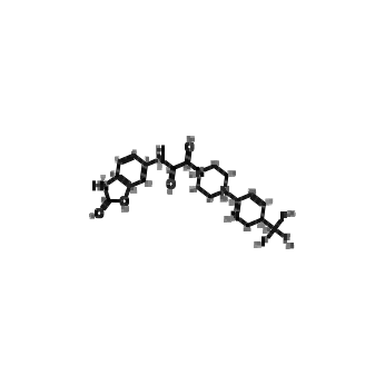 O=C(Nc1ccc2[nH]c(=O)oc2c1)C(=O)N1CCN(C2=NCC(C(F)(F)F)C=C2)CC1